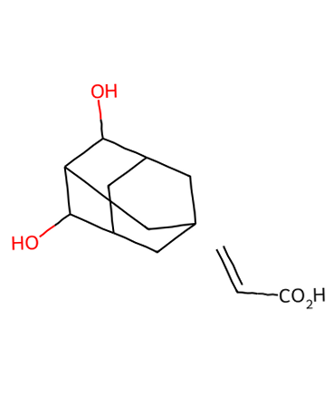 C=CC(=O)O.OC1C2CC3CC(C2)C(O)C1C3